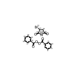 O=C(OOC(=O)c1ccccc1)c1ccccc1.O=C1CC(Br)C(=O)N1